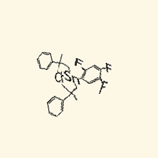 CC(C)([CH2][Sn]([Cl])([CH2]C(C)(C)c1ccccc1)[c]1cc(F)c(F)cc1F)c1ccccc1